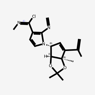 C=Nc1c(/C(Cl)=N\C)ccn1[C@@H]1C=C(C(=C)C)[C@@]2(C)OC(C)(C)O[C@@H]12